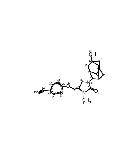 CN1C(=O)N(C2C3CC4CC2CC(O)(C4)C3)CC1COc1ccc(C#N)cn1